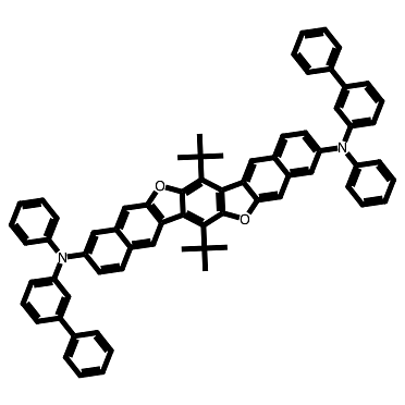 CC(C)(C)c1c2oc3cc4cc(N(c5ccccc5)c5cccc(-c6ccccc6)c5)ccc4cc3c2c(C(C)(C)C)c2oc3cc4cc(N(c5ccccc5)c5cccc(-c6ccccc6)c5)ccc4cc3c12